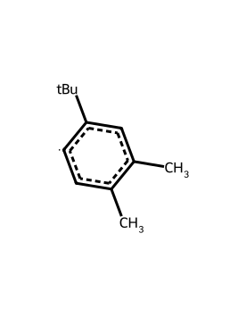 Cc1c[c]c(C(C)(C)C)cc1C